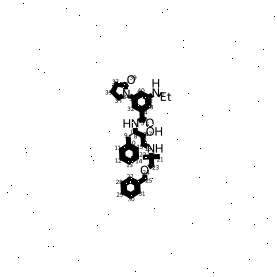 CCNc1cc(C(=O)N[C@@H](Cc2ccccc2)[C@H](O)CNC(C)(C)COCc2ccccc2)cc(N2CCCC2=O)c1